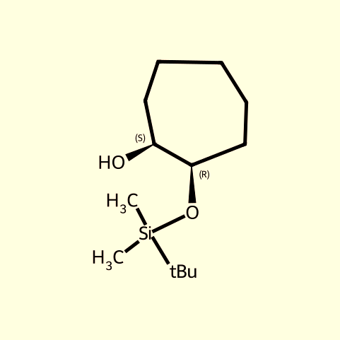 CC(C)(C)[Si](C)(C)O[C@@H]1CCCCC[C@@H]1O